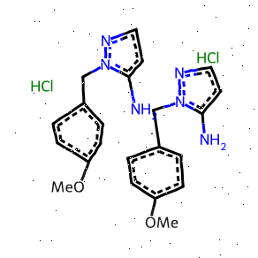 COc1ccc(Cn2nccc2N)cc1.COc1ccc(Cn2nccc2N)cc1.Cl.Cl